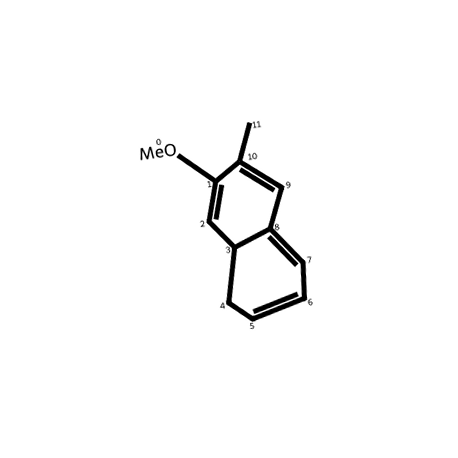 COC1=CC2CC=CC=C2C=C1C